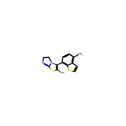 CCCC1=C(c2ccc(C)c3ccsc23)N2CCN=C2S1